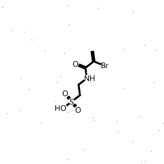 C=C(Br)C(=O)NCCS(=O)(=O)O